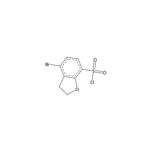 O=S(=O)(Cl)c1ccc(Br)c2c1OCC2